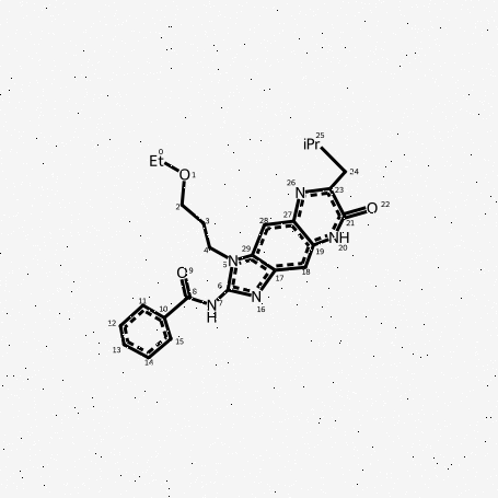 CCOCCCn1c(NC(=O)c2ccccc2)nc2cc3[nH]c(=O)c(CC(C)C)nc3cc21